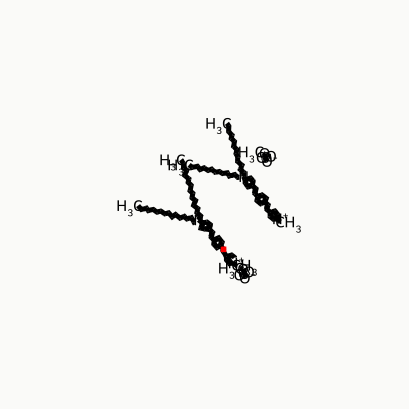 CCCCCCCCCCCCCCCCN(CCCCCCCCCCCCCCCC)c1ccc(/C=C/c2ccc(/C=C/c3cc[n+](C)cc3)cc2)cc1.CCCCCCCCCCCCCCN(CCCCCCCCCCCCCC)c1ccc(/C=C/c2ccc(/C=C/c3cc[n+](C)cc3)cc2)cc1.COS(=O)(=O)[O-].COS(=O)(=O)[O-]